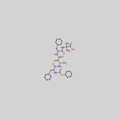 CC(NC(=O)[C@H](Cc1ccccc1)NC(=O)Cc1ccccc1)C(=O)C(=O)N[C@@H](Cc1ccccc1)C(=O)NC(C)(C)C(=O)O